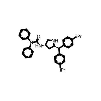 CC(C)c1ccc(C(c2ccc(C(C)C)cc2)[C@H]2C[C@@H](NC(=O)N(c3ccccc3)c3ccccc3)CN2)cc1